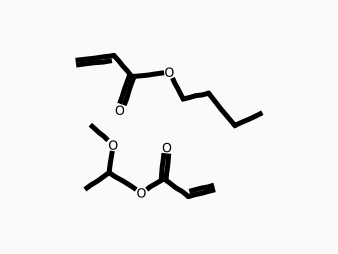 C=CC(=O)OC(C)OC.C=CC(=O)OCCCC